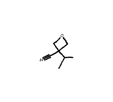 CC(C)C1(C#N)COC1